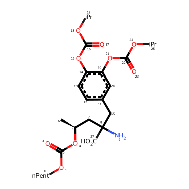 CCCCCOC(=O)O[C@@H](C)CC(N)(Cc1ccc(OC(=O)OC(C)C)c(OC(=O)OC(C)C)c1)C(=O)O